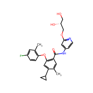 Cc1cc(F)ccc1Oc1cc(C2CC2)c(C)cc1C(=O)Nc1ccnc(OC[C@H](O)CO)c1